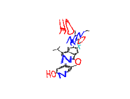 CCn1c(CO)nn(-c2cc3c(C(C)C)cn(-c4cc(O)ncc4C)c(=O)c3cc2F)c1=O